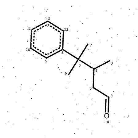 CC(CC=O)C(C)(C)c1ccccc1